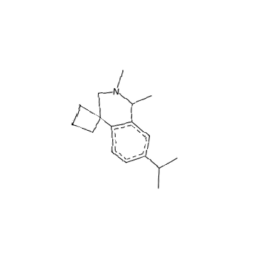 CC(C)c1ccc2c(c1)C(C)N(C)CC21CCC1